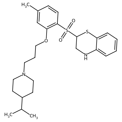 Cc1ccc(S(=O)(=O)C2CNc3ccccc3S2)c(OCCCN2CCC(C(C)C)CC2)c1